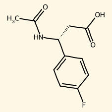 CC(=O)N[C@H](CC(=O)O)c1ccc(F)cc1